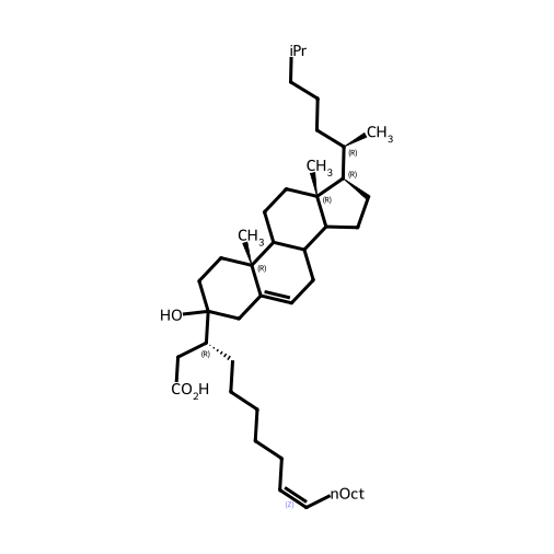 CCCCCCCC/C=C\CCCCC[C@H](CC(=O)O)C1(O)CC[C@@]2(C)C(=CCC3C2CC[C@@]2(C)C3CC[C@@H]2[C@H](C)CCCC(C)C)C1